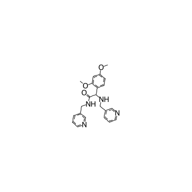 COc1ccc(C(NCc2cccnc2)C(=O)NCc2cccnc2)c(OC)c1